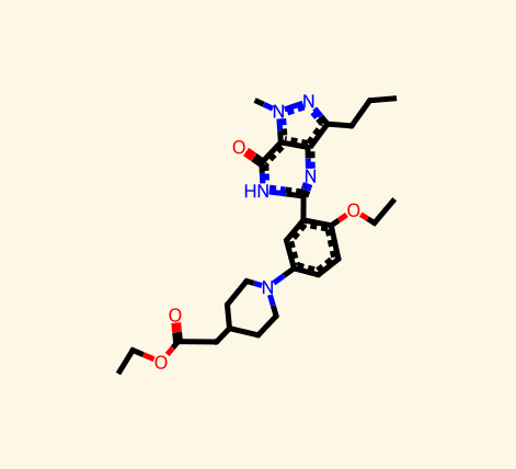 CCCc1nn(C)c2c(=O)[nH]c(-c3cc(N4CCC(CC(=O)OCC)CC4)ccc3OCC)nc12